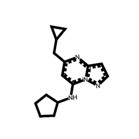 c1cc2nc(CC3CC3)cc(NC3CCCC3)n2n1